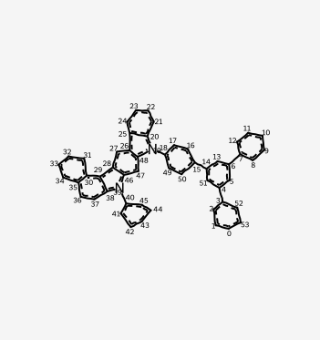 c1ccc(-c2cc(-c3ccccc3)cc(-c3ccc(-n4c5ccccc5c5cc6c7c8ccccc8ccc7n(-c7ccccc7)c6cc54)cc3)c2)cc1